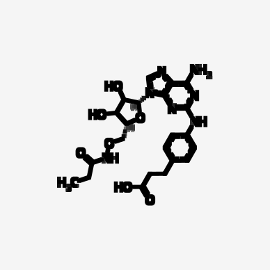 CCC(=O)NOC[C@H]1O[C@@H](n2cnc3c(N)nc(Nc4ccc(CCC(=O)O)cc4)nc32)C(O)C1O